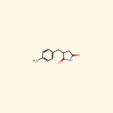 Cc1ccc(CC2CC(=O)NC2=O)cc1